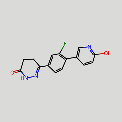 O=C1CCC(c2ccc(-c3ccc(O)nc3)c(F)c2)=NN1